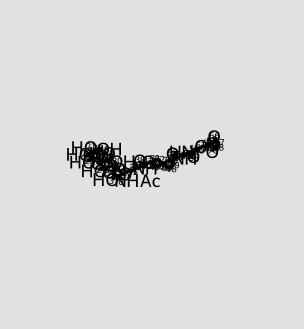 CC(=O)NC1C(O)[C@H](O[C@@H]2OC(CO)[C@H](O)C(O[C@H]3OC(CO)[C@H](O)C(O)C3O)C2O)C(CO)O[C@H]1OCCCNC(=O)COc1ccc(-c2cccc(C(=O)NCCNC(=O)CCOCCN3C(=O)CCC3=O)c2)cc1